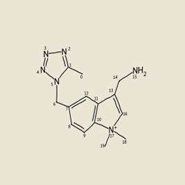 Cc1nnnn1Cc1ccc2c(c1)C(CN)=C[N+]2(C)C